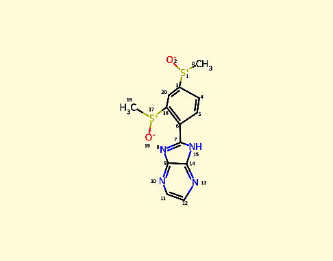 C[S+]([O-])c1ccc(-c2nc3nccnc3[nH]2)c([S+](C)[O-])c1